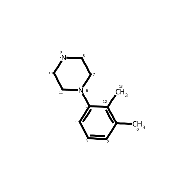 Cc1cccc(N2CC[N]CC2)c1C